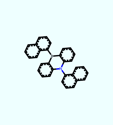 c1ccc2c(c1)B(c1cccc3ccccc13)c1ccccc1N2c1cccc2ccccc12